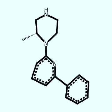 C[C@@H]1CNCCN1c1cccc(-c2ccccc2)n1